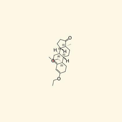 CCOC1=CC2=CC[C@@H]3[C@H](CC[C@]4(C)C(=O)CC[C@@H]34)[C@@]2(COC)CC1